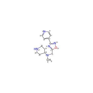 CN(Cc1nc(-c2ccncc2)no1)C1CCNCC1